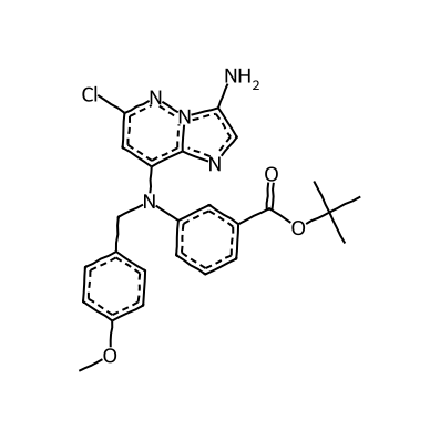 COc1ccc(CN(c2cccc(C(=O)OC(C)(C)C)c2)c2cc(Cl)nn3c(N)cnc23)cc1